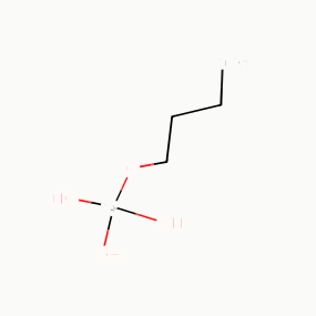 CCCCCCCCO[Si](O)(O)O